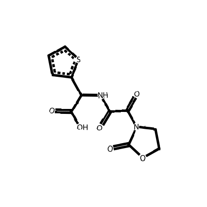 O=C(NC(C(=O)O)c1cccs1)C(=O)N1CCOC1=O